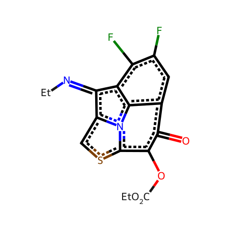 CCN=c1c2c(F)c(F)cc3c(=O)c(OC(=O)OCC)c4scc1n4c32